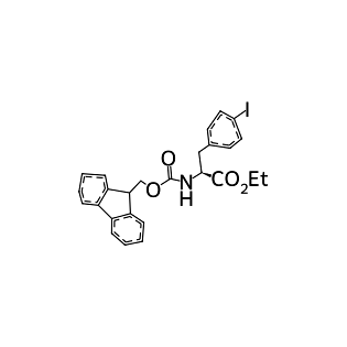 CCOC(=O)[C@H](Cc1ccc(I)cc1)NC(=O)OCC1c2ccccc2-c2ccccc21